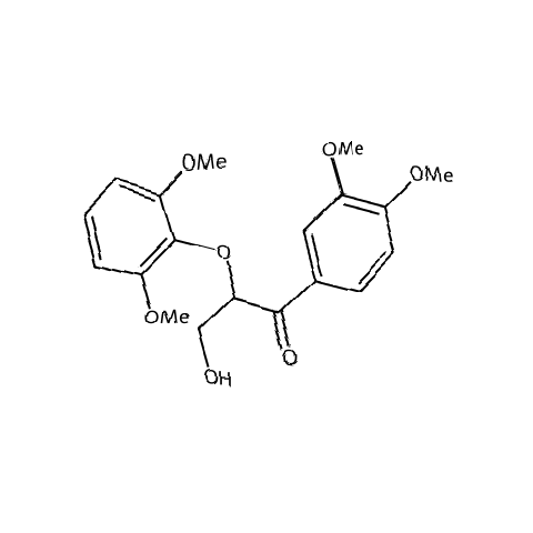 COc1ccc(C(=O)C(CO)Oc2c(OC)cccc2OC)cc1OC